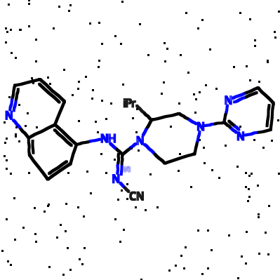 CC(C)C1CN(c2ncccn2)CCN1/C(=N\C#N)Nc1cccc2ncccc12